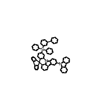 c1ccc(-c2cccc([Si](c3ccccc3)(c3ccccc3)c3ccc4c(c3)-n3c5ccc(-n6c7ccccc7c7ccccc76)cc5c5cccc(c53)C43c4ccccc4-c4ccccc43)c2)cc1